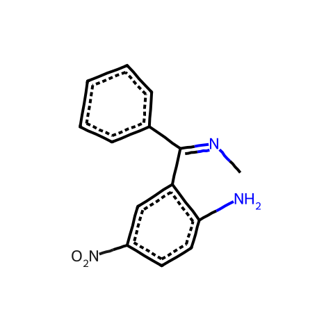 CN=C(c1ccccc1)c1cc([N+](=O)[O-])ccc1N